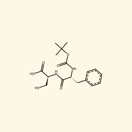 CC(C)(C)OC(=O)N[C@H](Cc1ccccc1)C(=O)N[C@@H](CS)C(=O)O